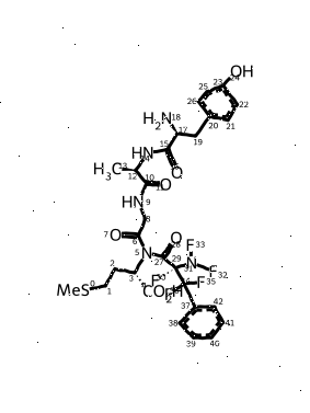 CSCC[C@@H](C(=O)O)N(C(=O)CNC(=O)[C@@H](C)NC(=O)[C@@H](N)Cc1ccc(O)cc1)C(=O)[C@@](F)(N(F)F)C(F)(F)c1ccccc1